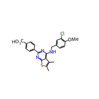 COc1ccc(CNc2nc(-c3ccc(C(=O)O)cc3)nc3sc(C)c(C)c23)cc1Cl